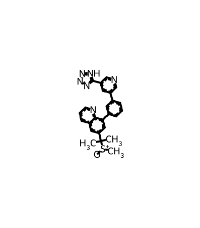 C[S+]([O-])C(C)(C)c1cc(-c2cccc(-c3cncc(-c4nnn[nH]4)c3)c2)c2ncccc2c1